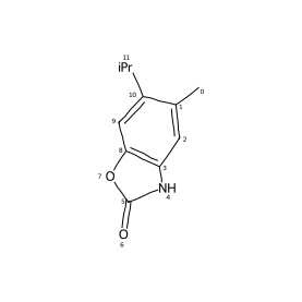 Cc1cc2[nH]c(=O)oc2cc1C(C)C